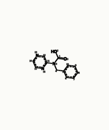 O=C(O)N(Cc1ccccc1)c1cnccn1